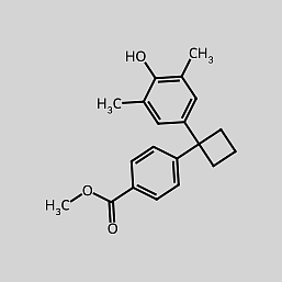 COC(=O)c1ccc(C2(c3cc(C)c(O)c(C)c3)CCC2)cc1